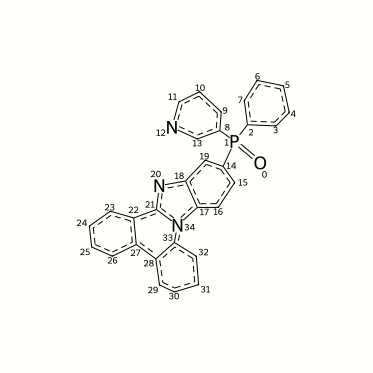 O=P(c1ccccc1)(c1cccnc1)c1ccc2c(c1)nc1c3ccccc3c3ccccc3n21